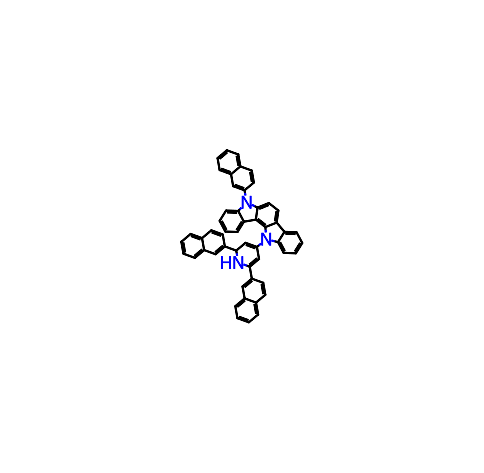 C1=C(c2ccc3ccccc3c2)NC(c2ccc3ccccc3c2)C=C1n1c2ccccc2c2ccc3c(c4ccccc4n3-c3ccc4ccccc4c3)c21